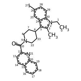 CCn1c(C)c(C2CCN(C(=O)c3ccc4ccccc4n3)CC2)c2cc(I)ccc21